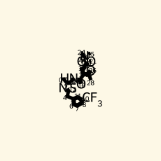 Cc1nc(Cc2cccc(C(F)(F)F)c2)sc1NC(=O)c1cc(S(=O)(=O)N(C)C)oc1C